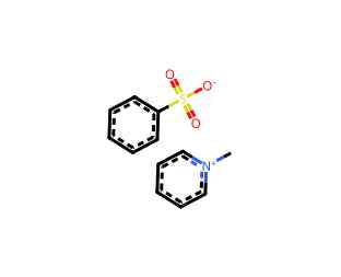 C[n+]1ccccc1.O=S(=O)([O-])c1ccccc1